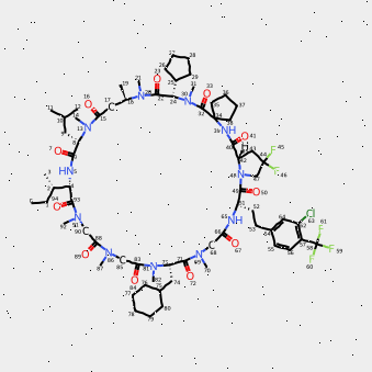 CC[C@H](C)[C@@H]1NC(=O)[C@H](CC(C)C)N(C)C(=O)C[C@@H](C)N(C)C(=O)[C@H](C2CCCC2)N(C)C(=O)C2(CCCC2)NC(=O)[C@@H]2CC(F)(F)CN2C(=O)[C@H](CCc2ccc(C(F)(F)F)c(Cl)c2)NC(=O)CN(C)C(=O)[C@H](CC2CCCCC2)N(C)C(=O)CN(C)C(=O)CN(C)C1=O